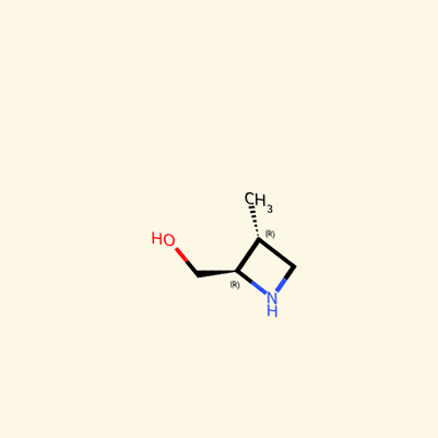 C[C@@H]1CN[C@H]1CO